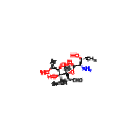 CC(=O)N[C@@H](C=O)[C@](OC(=O)[C@@H](N)[C@@H](C)O)(C(C)=O)[C@](O)(C(C)=O)[C@H](O)C(O)C(C)=O